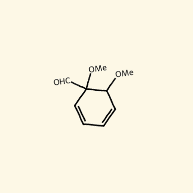 COC1C=CC=CC1(C=O)OC